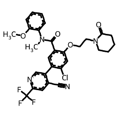 COc1ccccc1N(C)C(=O)c1cc(-c2cnc(C(F)(F)F)cc2C#N)c(Cl)cc1OCCN1CCCCC1=O